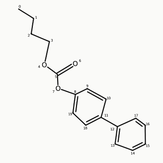 CCCCOC(=O)Oc1ccc(-c2ccccc2)cc1